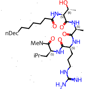 CCCCCCCCCCCCCCCC(=O)N[C@H](C(=O)N[C@@H](C)C(=O)N[C@@H](CCCNC(=N)N)C(=O)N[C@@H](CC(C)C)C(=O)NC)[C@@H](C)O